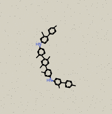 Cc1ccc(-c2ccc(Nc3ccc(-c4cc(C)c(-c5ccc(Nc6ccc(-c7ccc(C)cc7)c(C)c6)cc5C)cc4C)c(C)c3)cc2C)cc1